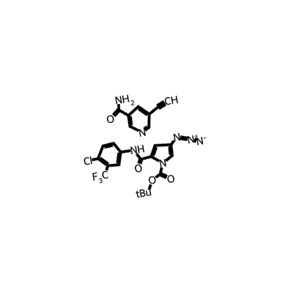 C#Cc1cncc(C(N)=O)c1.CC(C)(C)OC(=O)n1cc(N=[N+]=[N-])cc1C(=O)Nc1ccc(Cl)c(C(F)(F)F)c1